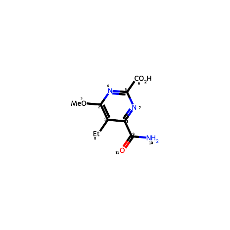 CCc1c(OC)nc(C(=O)O)nc1C(N)=O